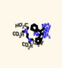 N=C(N)C1=c2ccccc2=NC1(C(=N)N)c1ccccc1.O=C(O)CN(CCN(CC(=O)O)CC(=O)O)CC(=O)O